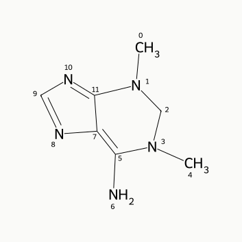 CN1CN(C)C(N)=C2N=CN=C21